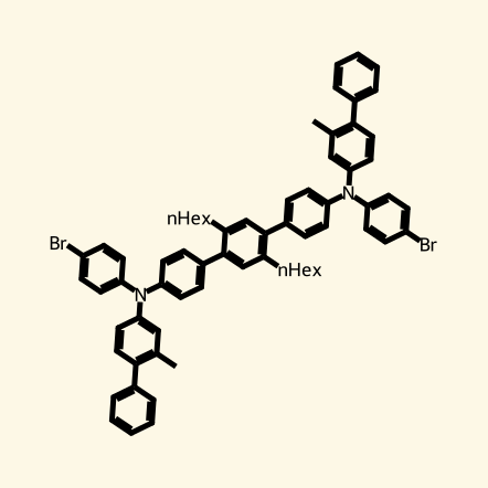 CCCCCCc1cc(-c2ccc(N(c3ccc(Br)cc3)c3ccc(-c4ccccc4)c(C)c3)cc2)c(CCCCCC)cc1-c1ccc(N(c2ccc(Br)cc2)c2ccc(-c3ccccc3)c(C)c2)cc1